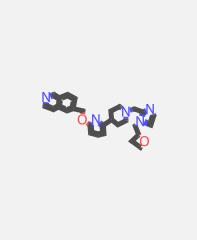 c1cc(OCc2ccc3cnccc3c2)nc(C2CCN(Cc3nccn3CC3CCO3)CC2)c1